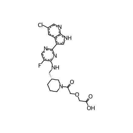 O=C(O)COCC(=O)N1CCC[C@H](CNc2nc(-c3c[nH]c4ncc(Cl)cc34)ncc2F)C1